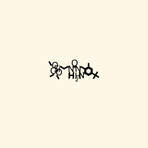 CCO[Si](CCCNC(=O)NCc1c(C)cc(C(C)(C)C)cc1N)(OCC)OCC